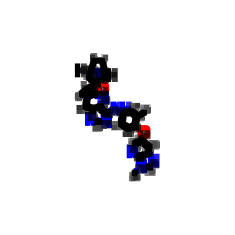 C=CC(=O)N1[C@@H]2CC[C@H]1C[C@@H](c1ccc3ncnc(Nc4ccc(Oc5cnc6c(c5)ncn6C)c(C)c4)c3n1)C2